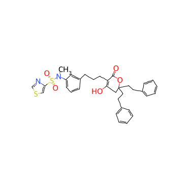 CN(c1cccc(CCCC2=C(O)CC(CCc3ccccc3)(CCc3ccccc3)OC2=O)c1)S(=O)(=O)c1cscn1